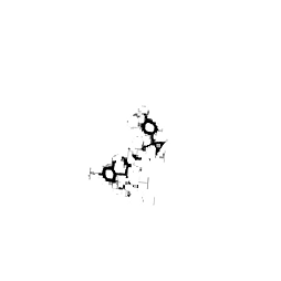 CC(C)(C)[S@+]([O-])N[C@@H](c1cnc(NC(=O)C2(c3ccc4c(c3)OCO4)CC2)s1)c1ccc(F)cc1Cl